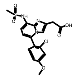 COc1ccc(-c2ccc(NS(C)(=O)=O)c3nc(CC(=O)O)cn23)c(Cl)c1